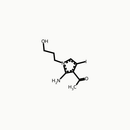 CC(=O)c1c(I)cn(CCCO)c1N